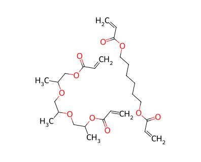 C=CC(=O)OCC(C)OCC(C)OCC(C)OC(=O)C=C.C=CC(=O)OCCCCCCOC(=O)C=C